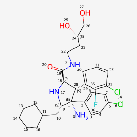 N[C@]1(c2ccc(Cl)cc2)[C@H](CC2CCCCC2)N[C@@H](C(=O)NCC[C@H](O)CO)[C@@H]1c1cccc(Cl)c1F